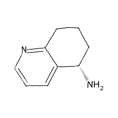 N[C@H]1CCCc2ncccc21